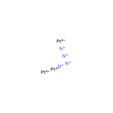 [N-3].[N-3].[N-3].[N-3].[Pt+4].[Pt+4].[Pt+4]